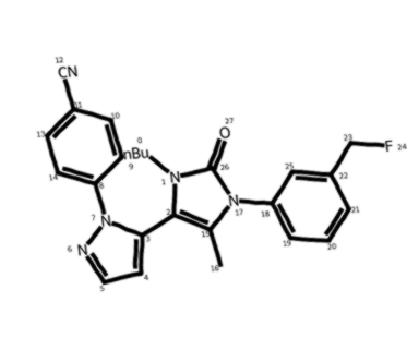 CCCCn1c(-c2ccnn2-c2ccc(C#N)cc2)c(C)n(-c2cccc(CF)c2)c1=O